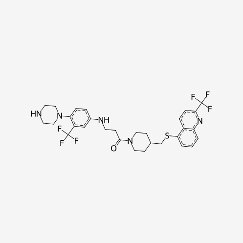 O=C(CCNc1ccc(N2CCNCC2)c(C(F)(F)F)c1)N1CCC(CSc2cccc3nc(C(F)(F)F)ccc23)CC1